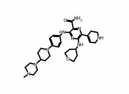 CN1CCN(C2CCN(c3ccc(Nc4nc(NC5CCOCC5)c(C5=CCNCC5)nc4C(N)=O)cc3)CC2)CC1